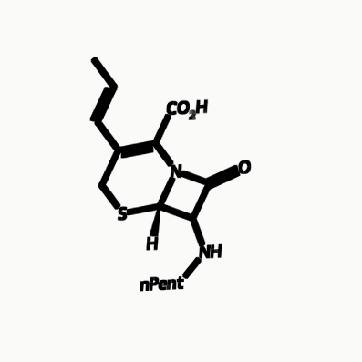 CC=CC1=C(C(=O)O)N2C(=O)C(NCCCCC)[C@@H]2SC1